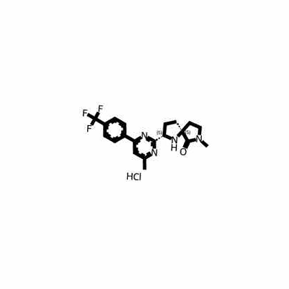 Cc1cc(-c2ccc(C(F)(F)F)cc2)nc([C@@H]2CC[C@@]3(CCN(C)C3=O)N2)n1.Cl